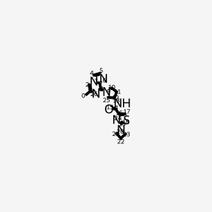 Cc1cn2ccnc2c(N2CC[C@H](NC(=O)c3csc(N4CCC4)n3)C2)n1